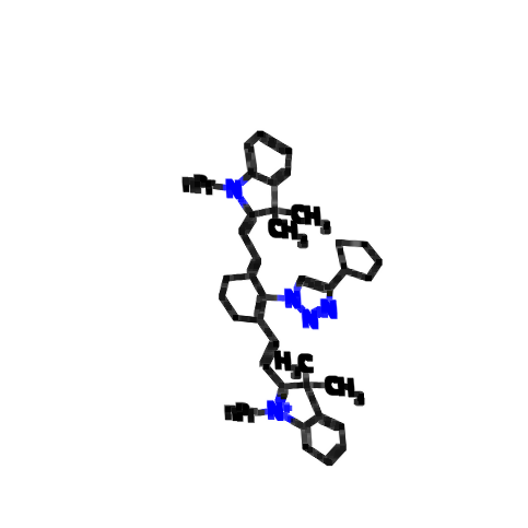 CCCN1/C(=C/C=C2\CCCC(/C=C/C3=[N+](CCC)c4ccccc4C3(C)C)=C2n2cc(C3CCCC3)nn2)C(C)(C)c2ccccc21